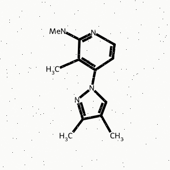 CNc1nccc(-n2cc(C)c(C)n2)c1C